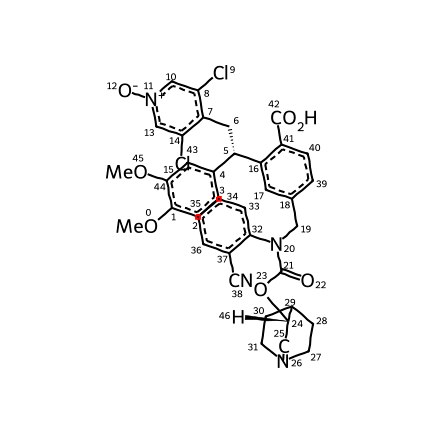 COc1ccc([C@H](Cc2c(Cl)c[n+]([O-])cc2Cl)c2cc(CN(C(=O)O[C@H]3CN4CCC3CC4)c3ccccc3C#N)ccc2C(=O)O)cc1OC